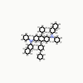 c1ccc(-c2ccc(-c3c4ccc(N(c5ccccc5)c5ccc6ccccc6c5)cc4c(-c4ccccc4)c4ccc(N(c5ccccc5)c5ccc6ccccc6c5)cc34)cc2)cc1